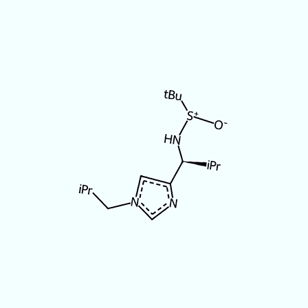 CC(C)Cn1cnc([C@@H](N[S+]([O-])C(C)(C)C)C(C)C)c1